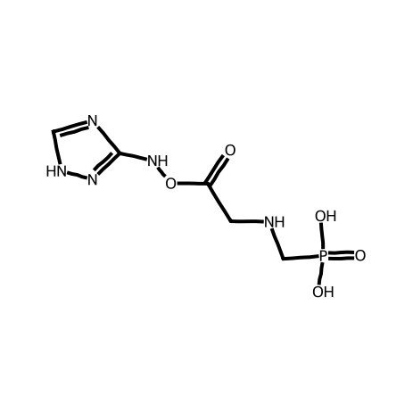 O=C(CNCP(=O)(O)O)ONc1nc[nH]n1